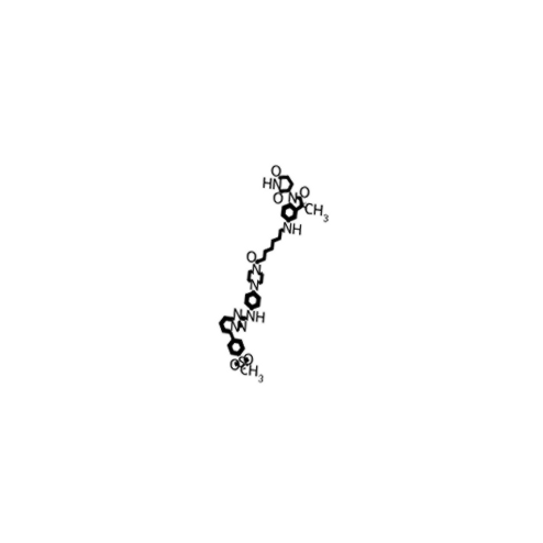 C[C@H]1C(=O)N(C2CCC(=O)NC2=O)c2ccc(NCCCCCCC(=O)N3CCN(c4ccc(Nc5nc6cccc(-c7ccc(S(C)(=O)=O)cc7)n6n5)cc4)CC3)cc21